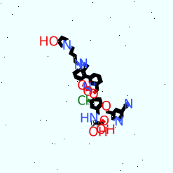 N#Cc1cncc(COc2cc(OCc3cccc(-c4cccc5c4cnn5CCCCN4CCC(O)C4)c3[N+](=O)[O-])c(Cl)cc2CN[C@@H](CO)C(=O)O)c1